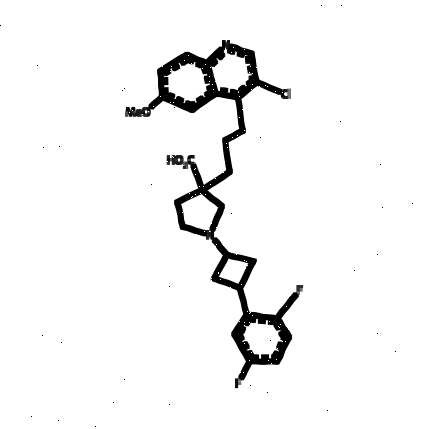 COc1ccc2ncc(Cl)c(CCCC3(C(=O)O)CCN(C4CC(c5cc(F)ccc5F)C4)C3)c2c1